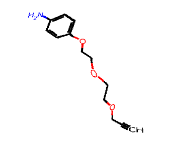 C#CCOCCOCCOc1ccc(N)cc1